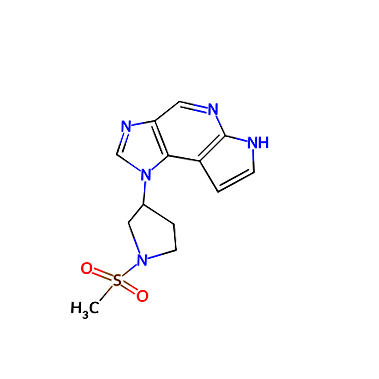 CS(=O)(=O)N1CCC(n2cnc3cnc4[nH]ccc4c32)C1